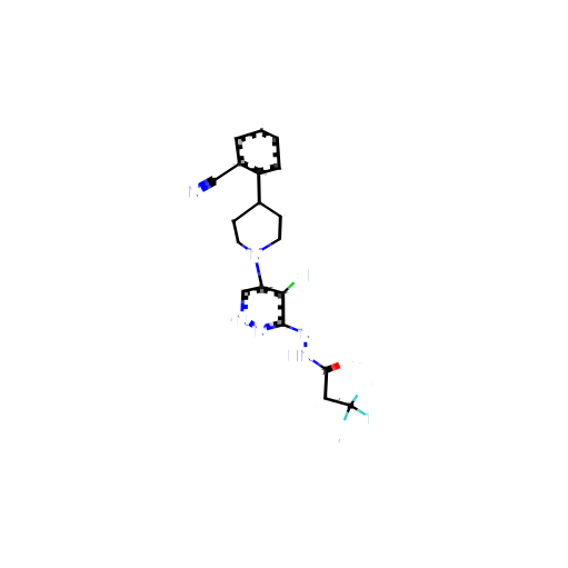 N#Cc1ccccc1C1CCN(c2cnnc(NNC(=O)CC(F)(F)F)c2Cl)CC1